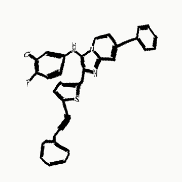 Fc1ccc(Nc2c(-c3ccc(C#Cc4ccccc4)s3)nc3cc(-c4ccccc4)ccn23)cc1Cl